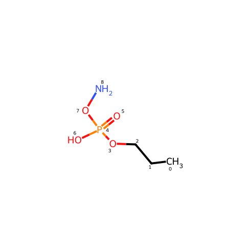 CCCOP(=O)(O)ON